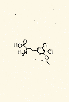 CC(C)Oc1cc(CCC(N)C(=O)O)cc(Cl)c1Cl